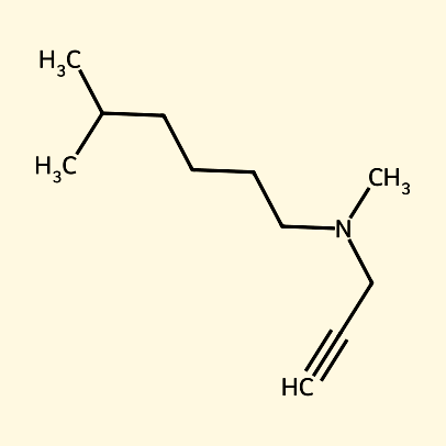 C#CCN(C)CCCCC(C)C